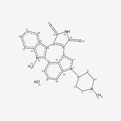 CN1CCC(n2cc(C3=C(c4cn(C)c5ccccc45)C(=O)NC3=O)c3ccccc32)CC1.Cl